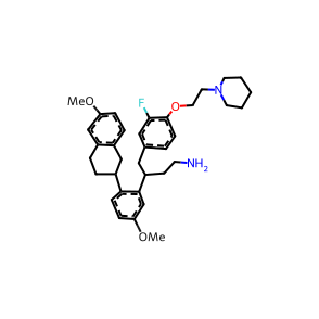 COc1ccc2c(c1)CCC(c1ccc(OC)cc1C(CCN)Cc1ccc(OCCN3CCCCC3)c(F)c1)C2